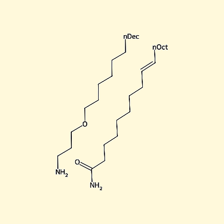 CCCCCCCCC=CCCCCCCCC(N)=O.CCCCCCCCCCCCCCCCOCCCN